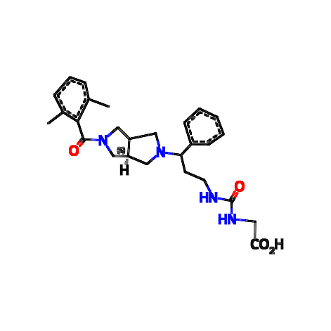 Cc1cccc(C)c1C(=O)N1CC2CN(C(CCNC(=O)NCC(=O)O)c3ccccc3)C[C@H]2C1